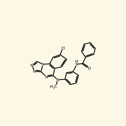 CN(c1cccc(NC(=O)c2ccccc2)c1)c1nc2nncn2c2cc(Cl)ccc12